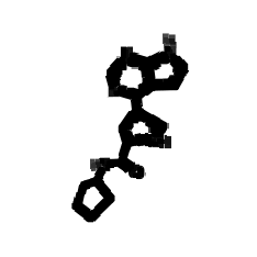 O=C(NC1CCCC1)c1cc(-c2ncnc3[nH]ccc23)c[nH]1